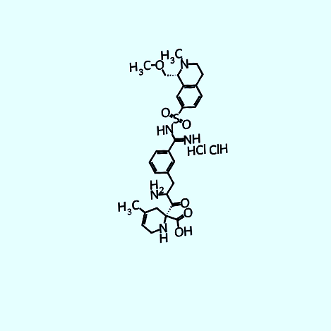 COC[C@H]1c2cc(S(=O)(=O)NC(=N)c3cccc(C[C@H](N)C(=O)[C@@]4(C(=O)O)CC(C)=CCN4)c3)ccc2CCN1C.Cl.Cl